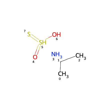 CCC.N.O=[SH](O)=S